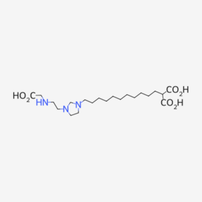 O=C(O)CNCCN1CCN(CCCCCCCCCCCC(C(=O)O)C(=O)O)C1